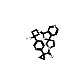 O=C1OC2(CCN(C(=O)C3(c4ccc(C5(O)CCC5)cc4)CC3)C2)c2ccncc21